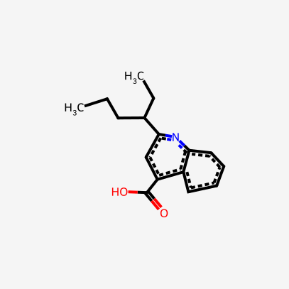 CCCC(CC)c1cc(C(=O)O)c2ccccc2n1